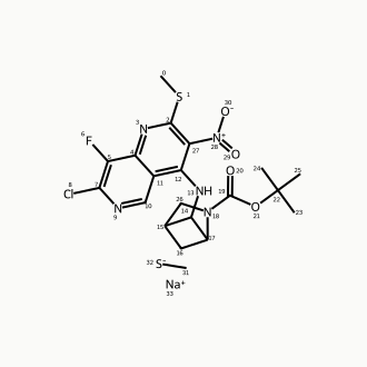 CSc1nc2c(F)c(Cl)ncc2c(NC2C3CC2N(C(=O)OC(C)(C)C)C3)c1[N+](=O)[O-].C[S-].[Na+]